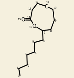 CCCCCCCC1CCCCCCC(=O)O1